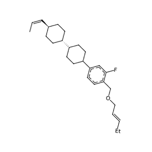 C/C=C\[C@H]1CC[C@H](C2CCC(c3ccc(COC/C=C/CC)c(F)c3)CC2)CC1